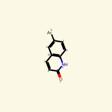 CC(=O)c1ccc2[nH]c(=O)ccc2c1